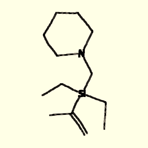 C=C(C)[Si](CC)(CC)CN1CCCCC1